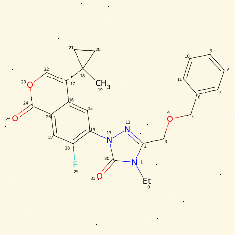 CCn1c(COCc2ccccc2)nn(-c2cc3c(C4(C)CC4)coc(=O)c3cc2F)c1=O